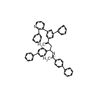 C=C(CC(/N=C(\C)c1ccc(-c2ccccc2)cc1)c1ccc(-c2ccccc2)cc1)c1cc(-c2ccccc2)cc(-c2cccnc2-c2ccccc2)c1